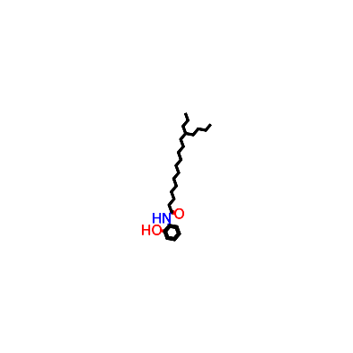 CCCCC(CCC)CCCCCCCCCCCC(=O)Nc1ccccc1O